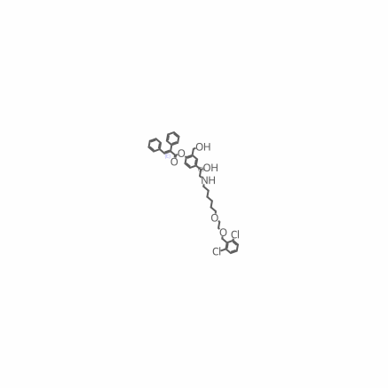 O=C(Oc1ccc([C@@H](O)CNCCCCCCOCCOCc2c(Cl)cccc2Cl)cc1CO)/C(=C/c1ccccc1)c1ccccc1